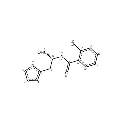 O=C[C@H](Cc1cscn1)NC(=O)c1ccccc1Cl